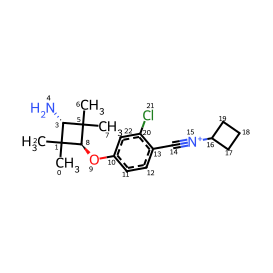 CC1(C)[C@H](N)C(C)(C)[C@H]1Oc1ccc(C#[N+]C2CCC2)c(Cl)c1